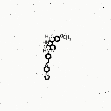 COc1ccc(-c2c[nH]c(=O)c3c(Nc4ccc(CCN5CCC(N6CCCC6)CC5)cc4)nccc23)c(C)c1